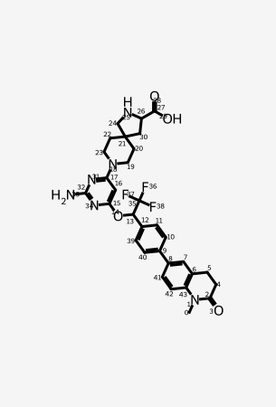 CN1C(=O)CCc2cc(-c3ccc(C(Oc4cc(N5CCC6(CC5)CNC(C(=O)O)C6)nc(N)n4)C(F)(F)F)cc3)ccc21